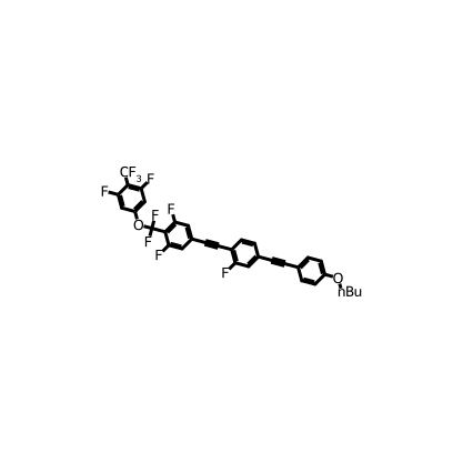 CCCCOc1ccc(C#Cc2ccc(C#Cc3cc(F)c(C(F)(F)Oc4cc(F)c(C(F)(F)F)c(F)c4)c(F)c3)c(F)c2)cc1